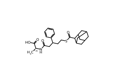 C[C@H](NC(=O)CC(CCSC(=O)C1C2CC3CC(C2)CC1C3)c1ccccc1)C(=O)O